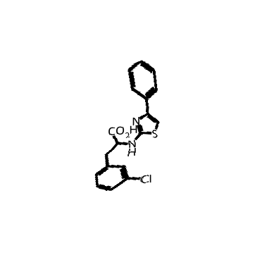 O=C(O)C(Cc1cccc(Cl)c1)Nc1nc(-c2ccccc2)cs1